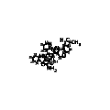 CC(C)c1ccc2c(c1)-c1nn(-c3ncccc3C(=O)NC(Cc3ccccc3)C3(C(N)=O)OCCO3)cc1CO2